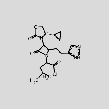 CC(C)CC(C(=O)O)N1C(=O)C(N2C(=O)OC[C@@H]2C2CC2)C1CCc1cnc[nH]1